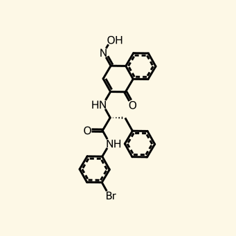 O=C1C(N[C@H](Cc2ccccc2)C(=O)Nc2cccc(Br)c2)=C/C(=N/O)c2ccccc21